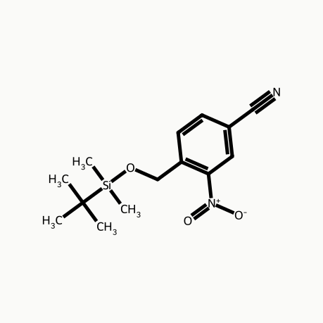 CC(C)(C)[Si](C)(C)OCc1ccc(C#N)cc1[N+](=O)[O-]